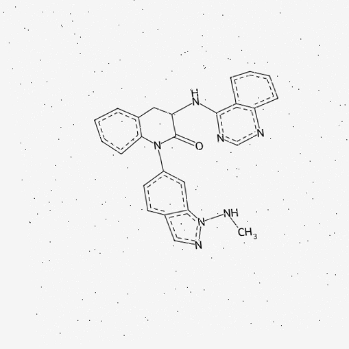 CNn1ncc2ccc(N3C(=O)C(Nc4ncnc5ccccc45)Cc4ccccc43)cc21